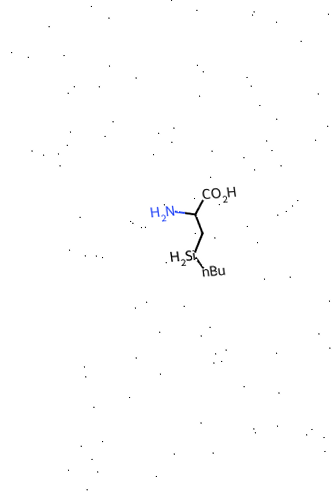 CCCC[SiH2]CC(N)C(=O)O